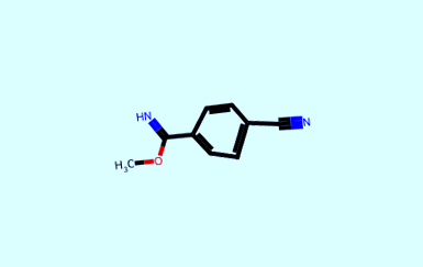 COC(=N)c1ccc(C#N)cc1